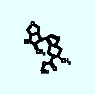 C=C1NC2COCC2N1c1cnn2c1CN(C(=O)OC(C)(C)C)[C@@H](C)C2